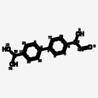 O=NB(O)c1ccc(-c2ccc(B(O)O)cc2)cc1